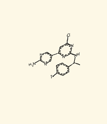 CC(Nc1nc(Cl)cc(-c2cnc(N)nc2)n1)c1ccc(F)cc1